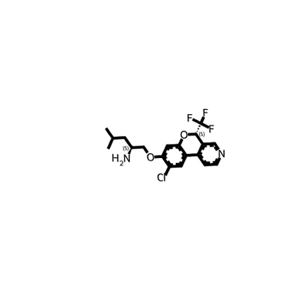 CC(C)C[C@H](N)COc1cc2c(cc1Cl)-c1ccncc1[C@@H](C(F)(F)F)O2